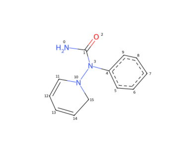 NC(=O)N(c1ccccc1)N1C=CC=CC1